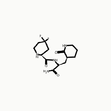 NC(=O)[C@H](C[C@@H]1CCCNC1=O)NC(=O)[C@@H]1CC(F)(F)CCN1